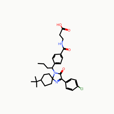 CCCC(c1ccc(C(=O)NCCC(=O)O)cc1)N1C(=O)C(c2ccc(Cl)cc2)=NC12CCC(C(C)(C)C)CC2